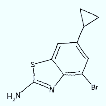 Nc1nc2c(Br)cc(C3CC3)cc2s1